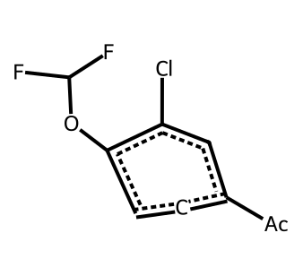 CC(=O)c1ccc(OC(F)F)c(Cl)c1